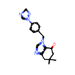 CC1(C)CC(=O)c2c(ncn2Cc2ccc(-n3cncn3)cc2)C1